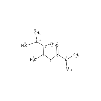 CC(CC(=O)N(C)C)C(C)N(C)C